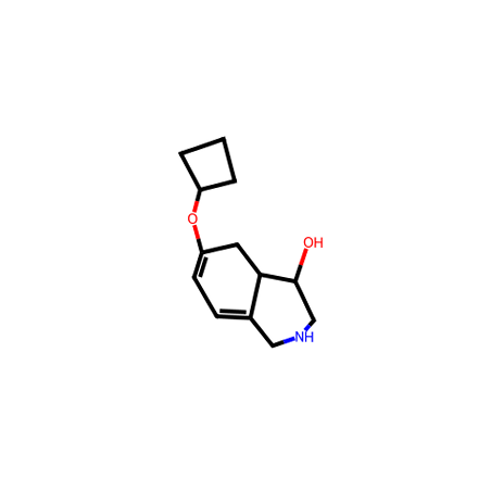 OC1CNCC2=CC=C(OC3CCC3)CC21